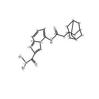 CCN(CC)C(=O)c1cn2c(NC(=O)CC34CC5CC(CC(C5)C3)C4)cccc2n1